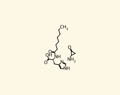 CCCCCCCC(=O)N[C@@H](Cc1c[nH]cn1)C(=O)O.NC1CC1=O